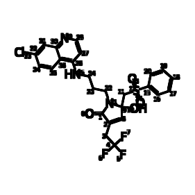 O=C1C(CC(F)(F)F)=CC(O)(CS(=O)(=O)c2ccccc2)N1CCCNc1ccnc2cc(Cl)ccc12